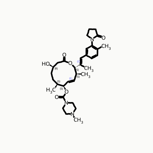 C/C(=C\c1ccc(C)c(N2CCCC2=O)c1)[C@H]1OC(=O)C[C@H](O)CC[C@H](C)[C@H](OC(=O)N2CCN(C)CC2)/C=C/[C@@H]1C